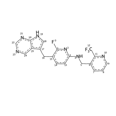 Fc1nc(NCc2cccnc2C(F)(F)F)ccc1Cc1c[nH]c2ncncc12